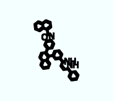 N=C(/C=C\C(=N)c1cccc(-c2c(-c3ccc4nc(-c5cccc6ccccc56)oc4c3)ccc3ccccc23)c1)c1ccccc1